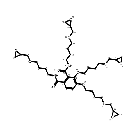 O=C(NCCCCOCC1CO1)c1ccc(OCCCCOCC2CO2)c(OCCCCOCC2CO2)c1C(=O)NCCCCOCC1CO1